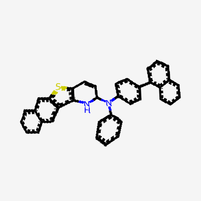 C1=CC(N(c2ccccc2)c2ccc(-c3cccc4ccccc34)cc2)Nc2c1sc1cc3ccccc3cc21